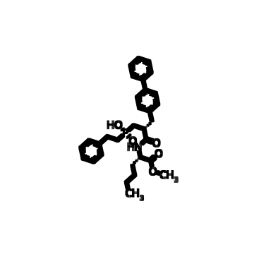 CCCC[C@H](NC(=O)[C@@H](Cc1ccc(-c2ccccc2)cc1)CP(=O)(O)CCc1ccccc1)C(=O)OC